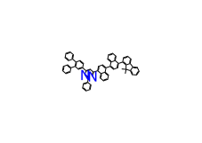 CC1(C)c2ccccc2-c2cccc(-c3ccc(-c4ccc(-c5cc(-c6ccc(-c7ccccc7)c(-c7ccccc7)c6)nc(-c6ccccc6)n5)c5ccccc45)c4ccccc34)c21